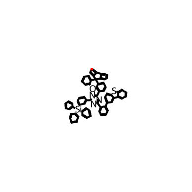 c1ccc([Si](c2ccccc2)(c2ccccc2)c2cccc(-c3nc(-c4ccccc4-c4ccc5sc6ccccc6c5c4)nc(-c4cccc5c4Oc4ccccc4C54c5ccccc5-c5ccccc54)n3)c2)cc1